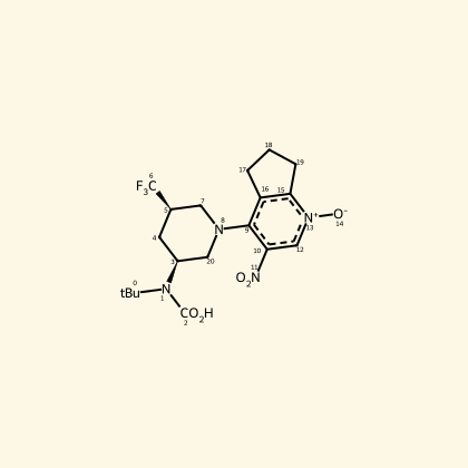 CC(C)(C)N(C(=O)O)[C@H]1C[C@@H](C(F)(F)F)CN(c2c([N+](=O)[O-])c[n+]([O-])c3c2CCC3)C1